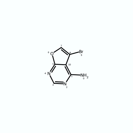 Nc1ncnc2occ(Br)c12